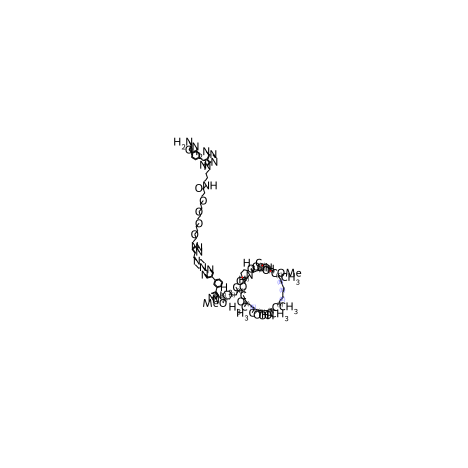 CO[C@H]1C[C@@H]2CC[C@@H](C)[C@@](O)(O2)C(=O)C(=O)N2CCCC[C@H]2C(=O)O[C@H]([C@H](C)C[C@@H]2CC[C@H](n3nncc3-c3cccc(-c4cnc(N5CCN(Cc6cn(CCOCCOCCOCCOCCC(=O)NCCCCn7nc(-c8ccc9oc(N)nc9c8)c8c(N)ncnc87)nn6)CC5)nc4)c3)[C@H](OC)C2)CC(=O)[C@H](C)/C=C(\C)[C@@H](O)[C@@H](O)C(=O)[C@H](C)C[C@H](C)/C=C/C=C/C=C/1C